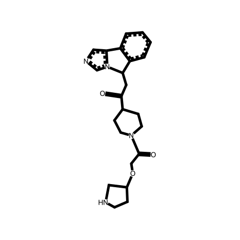 O=C(CC1c2ccccc2-c2cncn21)C1CCN(C(=O)COC2CCNC2)CC1